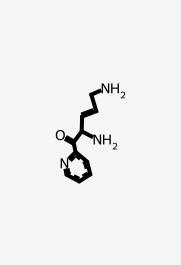 NCC=CC(N)C(=O)c1ccccn1